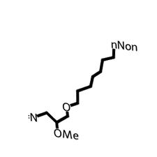 CCCCCCCCCCCCCCCCOCC(C[N])OC